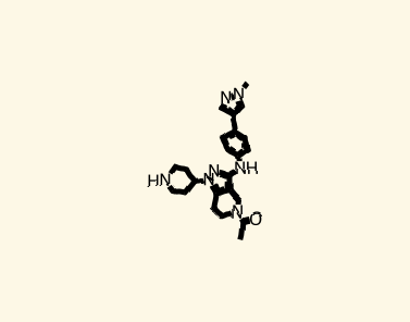 CC(=O)N1CCc2c(c(Nc3ccc(-c4cnn(C)c4)cc3)nn2C2CCNCC2)C1